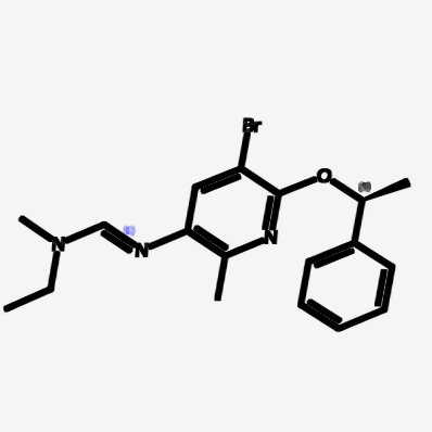 CCN(C)/C=N/c1cc(Br)c(O[C@@H](C)c2ccccc2)nc1C